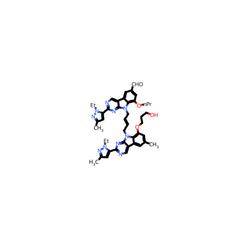 CCCOc1cc(C=O)cc2c3cnc(-c4cc(C)nn4CC)nc3n(C/C=C/Cn3c4nc(-c5cc(C)nn5CC)ncc4c4cc(C)cc(OCCCO)c43)c12